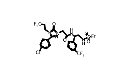 CCS(=O)(=O)NCC(NC(=O)Cn1nc(-c2ccc(Cl)cc2)n(CCC(F)(F)F)c1=O)c1cccc(C(F)(F)F)c1